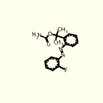 CC(C)(OC(N)=O)c1ccccc1N=Nc1ccccc1F